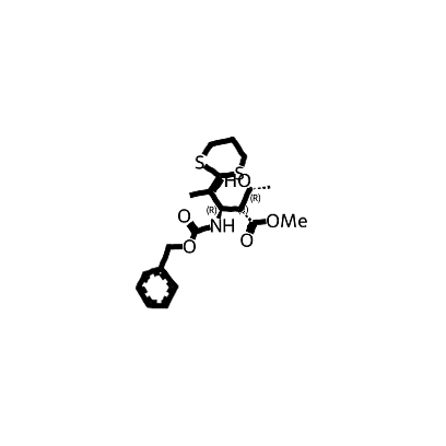 COC(=O)[C@@H]([C@@H](C)O)[C@@H](NC(=O)OCc1ccccc1)C(C)=C1SCCCS1